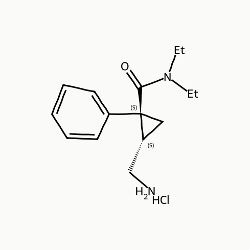 CCN(CC)C(=O)[C@@]1(c2ccccc2)C[C@@H]1CN.Cl